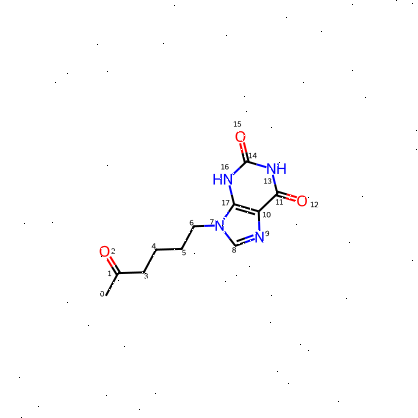 CC(=O)CCCCn1cnc2c(=O)[nH]c(=O)[nH]c21